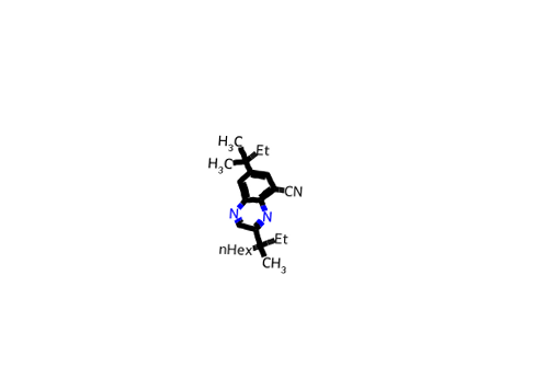 CCCCCCC(C)(CC)c1cnc2cc(C(C)(C)CC)cc(C#N)c2n1